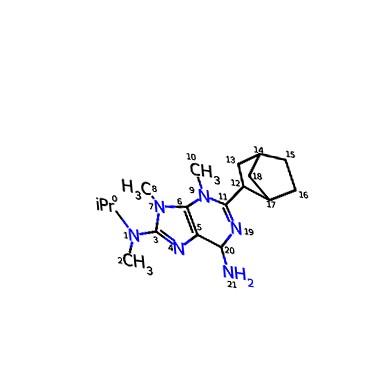 CC(C)N(C)c1nc2c(n1C)N(C)C(C1CC3CCC1C3)=NC2N